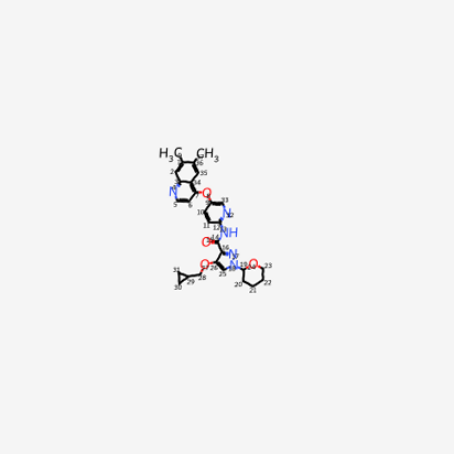 Cc1cc2nccc(Oc3ccc(NC(=O)c4nn(C5CCCCO5)cc4OCC4CC4)nc3)c2cc1C